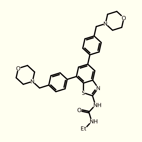 CCNC(=O)Nc1nc2cc(-c3ccc(CN4CCOCC4)cc3)cc(-c3ccc(CN4CCOCC4)cc3)c2s1